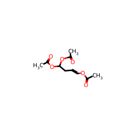 CC(=O)O/C=C/CC(OC(C)=O)OC(C)=O